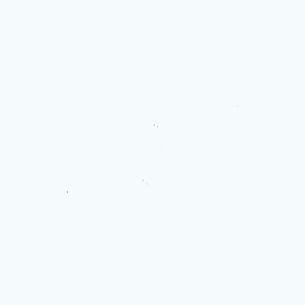 CCC(C)(C)Oc1ccc(-c2ccc(OC(C)(C)CC)cn2)nc1